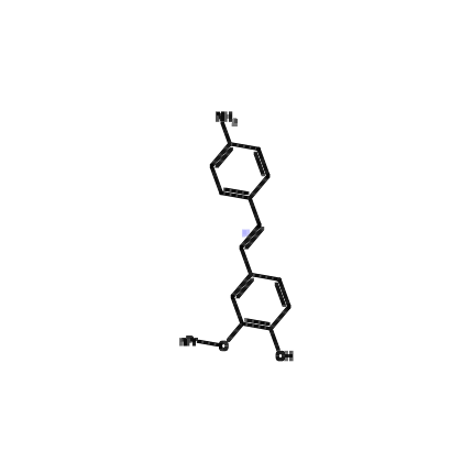 CCCOc1cc(/C=C/c2ccc(N)cc2)ccc1O